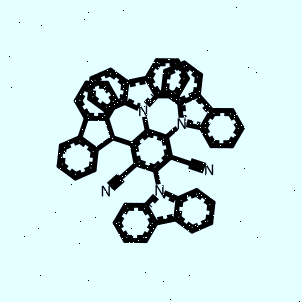 N#Cc1c(C2c3ccccc3-c3ccccc32)c(-n2c3ccccc3c3ccccc32)c(-n2c3ccccc3c3ccccc32)c(C#N)c1-n1c2ccccc2c2ccccc21